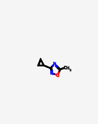 Cc1nc(C2CC2)no1